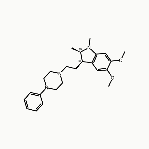 COc1cc2c(cc1OC)N(C)[C@H](C)[C@@H]2CCN1CCN(c2ccccc2)CC1